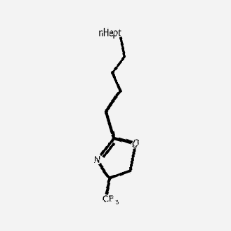 CCCCCCCCCCCC1=NC(C(F)(F)F)CO1